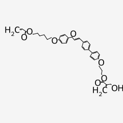 C=CC(=O)OCCCCCCOc1ccc(C(=O)/C=C/c2ccc(-c3ccc(OCCCOC(=O)C(=C)CO)cc3)cc2)cc1